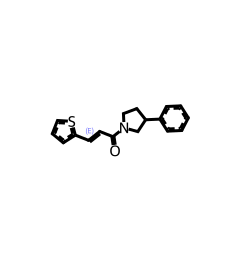 O=C(/C=C/c1cccs1)N1CCC(c2ccccc2)C1